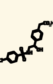 O=C(O)Cc1ccc(C(O)CNS(=O)(=O)c2ccc(Cl)cc2)cc1